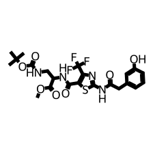 COC(=O)C(CNC(=O)OC(C)(C)C)NC(=O)c1sc(NC(=O)Cc2cccc(O)c2)nc1C(F)(F)F